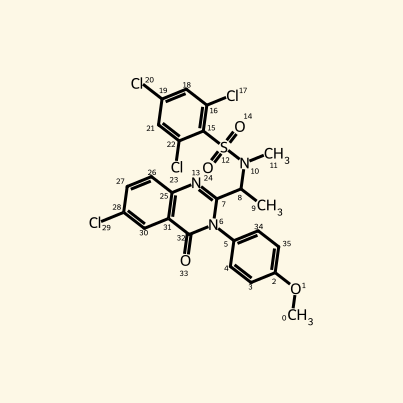 COc1ccc(-n2c(C(C)N(C)S(=O)(=O)c3c(Cl)cc(Cl)cc3Cl)nc3ccc(Cl)cc3c2=O)cc1